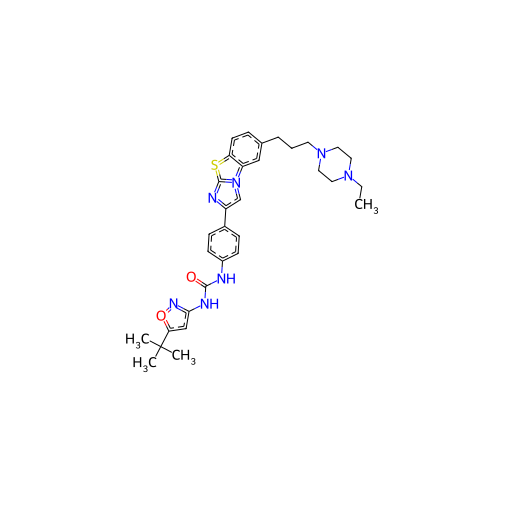 CCN1CCN(CCCc2ccc3sc4nc(-c5ccc(NC(=O)Nc6cc(C(C)(C)C)on6)cc5)cn4c3c2)CC1